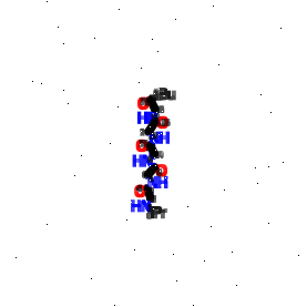 CC(C)NCC(=O)NCC(=O)NCC(=O)NCC(=O)NCC(=O)C(C)(C)C